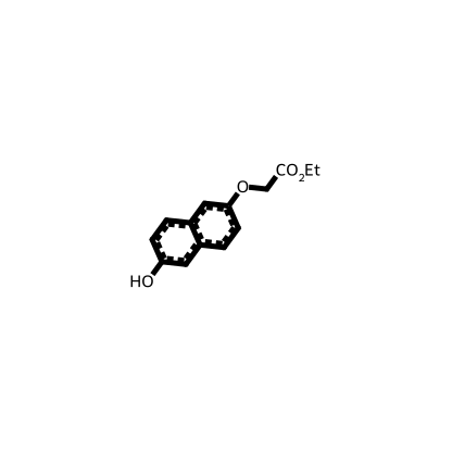 CCOC(=O)COc1ccc2cc(O)ccc2c1